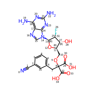 N#Cc1cccc(CC(OC[C@H]2O[C@@H](n3cnc4c(N)nc(N)nc43)[C@@H](F)[C@@H]2O)(C(=O)O)C(=O)O)c1